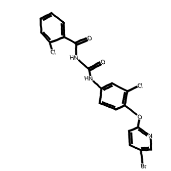 O=C(NC(=O)c1ccccc1Cl)Nc1ccc(Oc2ccc(Br)cn2)c(Cl)c1